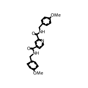 COc1ccc(CNC(=O)c2ccnc(C(=O)NCc3ccc(OC)cc3)c2)cc1